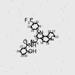 O=C(N/N=C/c1cc(-c2ccc(C(F)(F)F)cc2)nc2c1ccc1ccccc12)c1ccccc1O